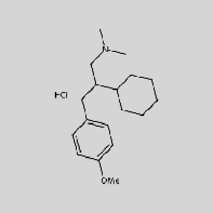 COc1ccc(CC(CN(C)C)C2CCCCC2)cc1.Cl